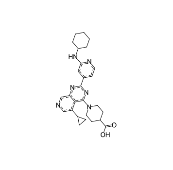 O=C(O)C1CCN(c2nc(-c3ccnc(NC4CCCCC4)c3)nc3cncc(C4CC4)c23)CC1